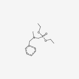 [CH2]N(Cc1ccccc1)CP(=O)(OCC)OCC